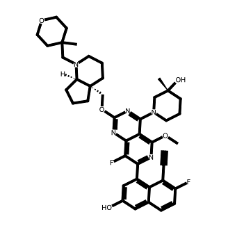 C#Cc1c(F)ccc2cc(O)cc(-c3nc(OC)c4c(N5CCC[C@@](C)(O)C5)nc(OC[C@]56CCC[C@H]5N(CC5(C)CCOCC5)CCC6)nc4c3F)c12